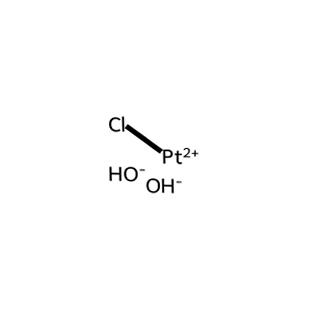 [Cl][Pt+2].[OH-].[OH-]